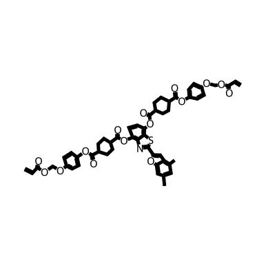 C=CC(=O)OCOc1ccc(OC(=O)C2CCC(C(=O)Oc3ccc(OC(=O)C4CCC(C(=O)Oc5ccc(OCOC(=O)C=C)cc5)CC4)c4sc(-c5cc6c(C)cc(C)cc6o5)nc34)CC2)cc1